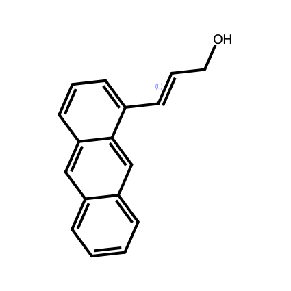 OC/C=C/c1cccc2cc3ccccc3cc12